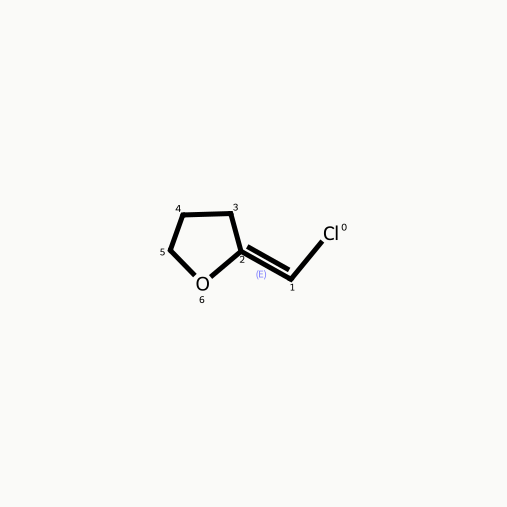 Cl/C=C1\CCCO1